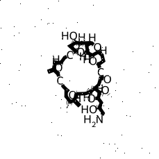 C=C1C[C@@H]2CC[C@]34C[C@@H](O)[C@H](O3)[C@H]3C[C@@H](O4)[C@H]4OC(CC[C@@H]4O3)CC(=O)C[C@H]3[C@H](C[C@H]4OC(CCC1O2)C[C@@H](C)C4=C)OC(C[C@H](O)CN)[C@@H]3OC